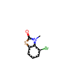 Cn1c(=O)sc2cccc(Br)c21